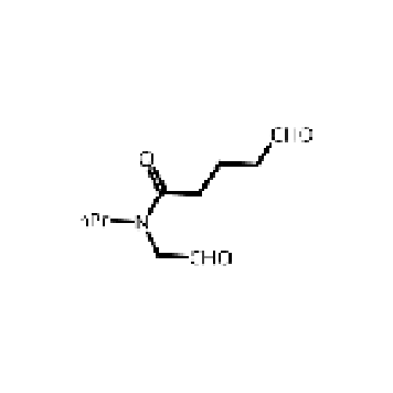 CCCN(CC=O)C(=O)CCCC=O